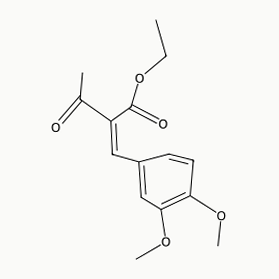 CCOC(=O)C(=Cc1ccc(OC)c(OC)c1)C(C)=O